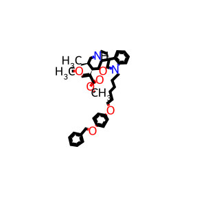 CC[C@H]1CN2CC[C@]3(C(=O)N(CCCCCCOc4ccc(OCc5ccccc5)cc4)c4ccccc43)[C@@H]2C[C@@H]1/C(=C\OC)C(=O)OC